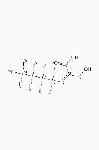 O=C(O)C(=CC(F)(F)C(F)(F)C(F)(F)C(F)(F)F)CO